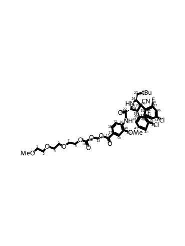 COCCOCCOCCOC(=O)OCOC(=O)c1ccc(NC(=O)[C@@H]2N[C@@H](CC(C)(C)C)[C@](C#N)(c3ccc(Cl)cc3F)[C@H]2c2cccc(Cl)c2F)c(OC)c1